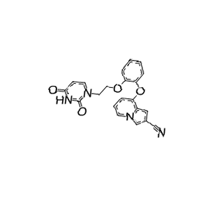 N#Cc1cc2c(Oc3ccccc3OCCn3ccc(=O)[nH]c3=O)cccn2c1